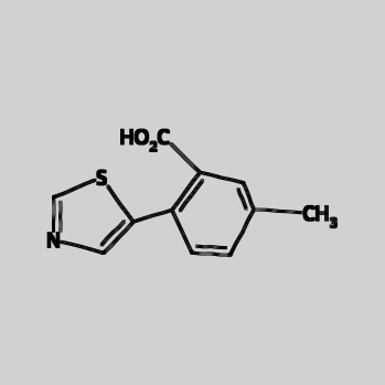 Cc1ccc(-c2cncs2)c(C(=O)O)c1